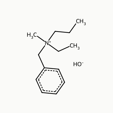 CCC[N+](C)(CC)Cc1ccccc1.[OH-]